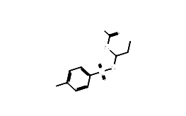 CCC(NC(=O)O)NS(=O)(=O)c1ccc(C)cc1